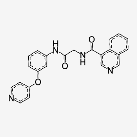 O=C(CNC(=O)c1cncc2ccccc12)Nc1cccc(Oc2ccncc2)c1